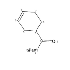 CCCCCC(=O)C1CC=CCC1